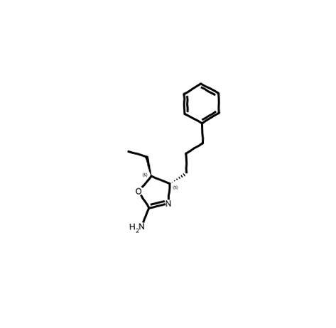 CC[C@@H]1OC(N)=N[C@H]1CCCc1ccccc1